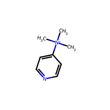 C[N+](C)(C)c1ccncc1